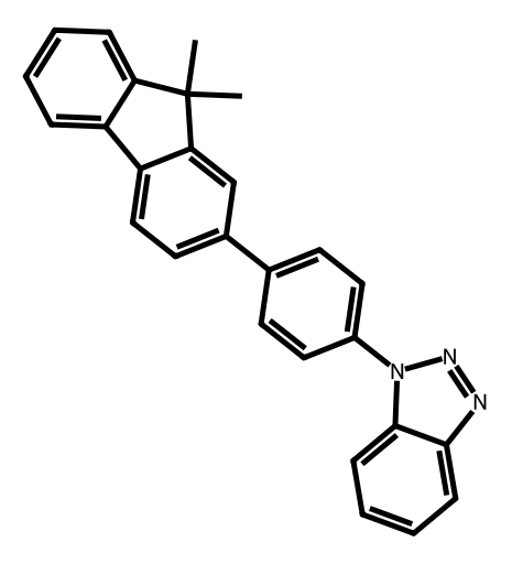 CC1(C)c2ccccc2-c2ccc(-c3ccc(-n4nnc5ccccc54)cc3)cc21